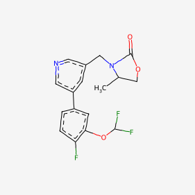 CC1COC(=O)N1Cc1cncc(-c2ccc(F)c(OC(F)F)c2)c1